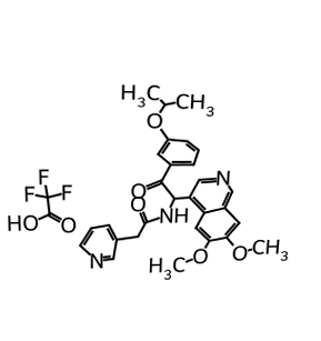 COc1cc2cncc(C(NC(=O)Cc3cccnc3)C(=O)c3cccc(OC(C)C)c3)c2cc1OC.O=C(O)C(F)(F)F